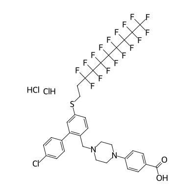 Cl.Cl.O=C(O)c1ccc(N2CCN(Cc3ccc(SCCC(F)(F)C(F)(F)C(F)(F)C(F)(F)C(F)(F)C(F)(F)C(F)(F)C(F)(F)F)cc3-c3ccc(Cl)cc3)CC2)cc1